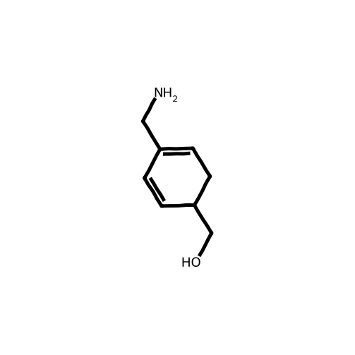 NCC1=CCC(CO)C=C1